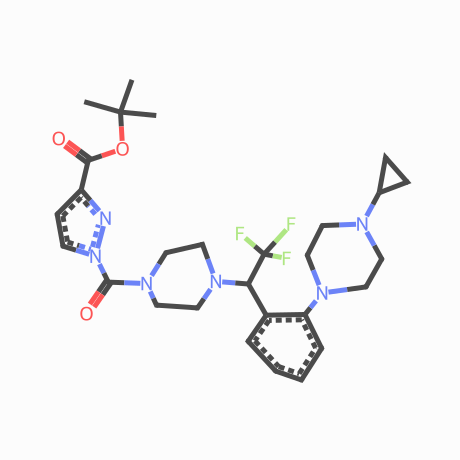 CC(C)(C)OC(=O)c1ccn(C(=O)N2CCN(C(c3ccccc3N3CCN(C4CC4)CC3)C(F)(F)F)CC2)n1